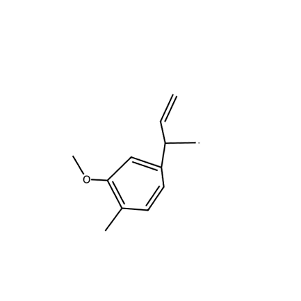 [CH2]C(C=C)c1ccc(C)c(OC)c1